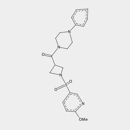 COc1ccc(S(=O)(=O)N2CC(C(=O)N3CCN(c4ccccc4)CC3)C2)cn1